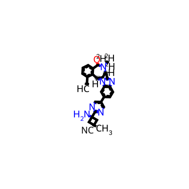 [2H]C([2H])([2H])N1C(=O)c2cccc(C#C)c2[C@H]2C[C@@H]1c1nc3ccc(-c4cnc(C5(N)CC(C)(C#N)C5)nc4)cc3n12